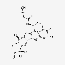 CC[C@@]1(O)C(=O)CCc2c1cc1n(c2=O)Cc2c-1nc1cc(F)c(C)c3c1c2[C@@H](NC(=O)CC(C)(C)O)CC3